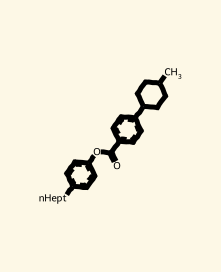 CCCCCCCc1ccc(OC(=O)c2ccc(C3CCC(C)CC3)cc2)cc1